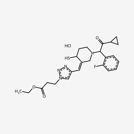 CCOC(=O)CCn1cc(/C=C2/CN(C(C(=O)C3CC3)c3ccccc3F)CCC2S)nn1.Cl